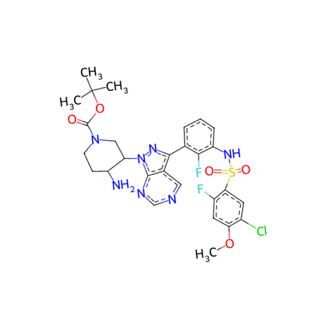 COc1cc(F)c(S(=O)(=O)Nc2cccc(-c3nn(C4CN(C(=O)OC(C)(C)C)CCC4N)c4ncncc34)c2F)cc1Cl